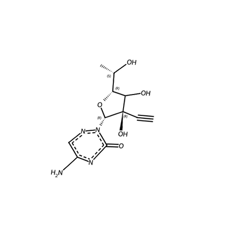 C#C[C@@]1(O)C(O)[C@@H]([C@H](C)O)O[C@H]1n1ncc(N)nc1=O